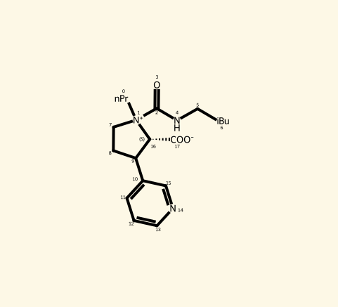 CCC[N+]1(C(=O)NCC(C)CC)CCC(c2cccnc2)[C@H]1C(=O)[O-]